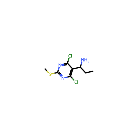 CCC(N)c1c(Cl)nc(SC)nc1Cl